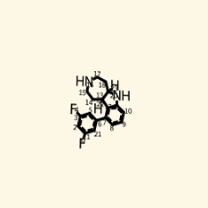 Fc1cc(F)cc(-c2cccc3c2[C@@H]2CCNCC[C@@H]2N3)c1